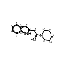 O=C([CH]c1cc2ccccc2[nH]1)N1CCOCC1